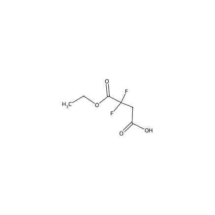 CCOC(=O)C(F)(F)CC(=O)O